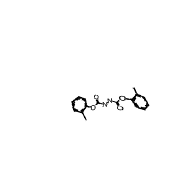 Cc1ccccc1OC(=O)N=NC(=O)Oc1ccccc1C